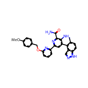 COc1ccc(COc2cccc(-c3cc(-c4c(C)ccc5[nH]ncc45)c(N)c(C(N)=O)n3)n2)cc1